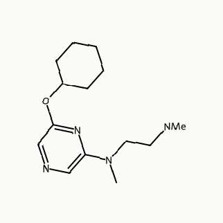 CNCCN(C)c1cncc(OC2CCCCC2)n1